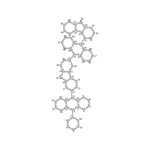 c1ccc(-c2c3ccccc3c(-c3ccc4c(c3)sc3ccc(-c5c6ccccc6c(-c6cccc7sc8ccccc8c67)c6ccccc56)cc34)c3ccccc23)cc1